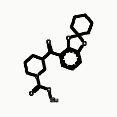 CC(C)(C)OC(=O)N1CCCC(C(=O)c2cccc3c2OC2(CCCCC2)O3)C1